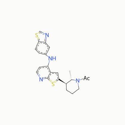 CC(=O)N1CCC[C@@H](c2cc3c(Nc4ccc5scnc5c4)ccnc3s2)[C@@H]1C